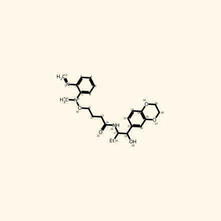 C=Nc1ccccc1N(C)OCCCC(=O)NC(CC)C(O)c1ccc2c(c1)OCCO2